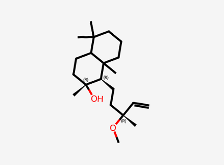 C=C[C@@](C)(CC[C@@H]1C2(C)CCCC(C)(C)C2CC[C@@]1(C)O)OC